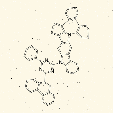 c1ccc(-c2nc(-c3cc4ccccc4c4ccccc34)nc(-n3c4ccccc4c4cc5c(cc43)c3cccc4c3n5-c3ccccc3-c3ccccc3-4)n2)cc1